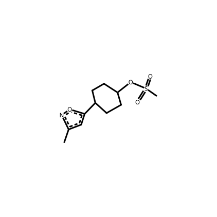 Cc1cc(C2CCC(OS(C)(=O)=O)CC2)on1